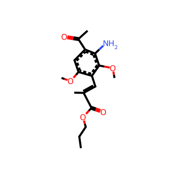 CCCOC(=O)C(C)=Cc1c(OC)cc(C(C)=O)c(N)c1OC